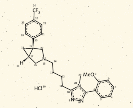 COc1ccccc1-c1nnc(CCCCN2C[C@@H]3C[C@]3(c3ccc(C(F)(F)F)cc3)C2)n1C.Cl